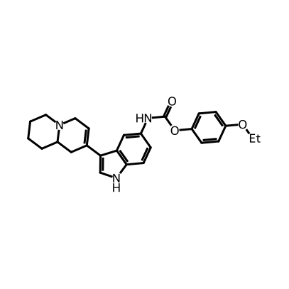 CCOc1ccc(OC(=O)Nc2ccc3[nH]cc(C4=CCN5CCCCC5C4)c3c2)cc1